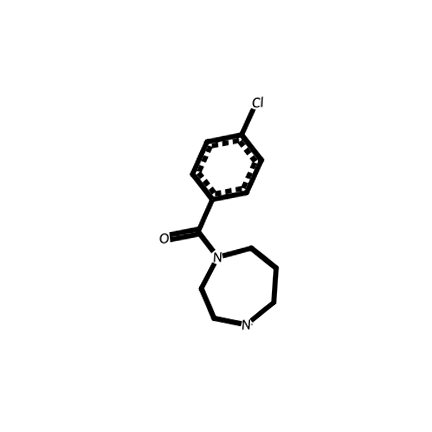 O=C(c1ccc(Cl)cc1)N1CCC[N]CC1